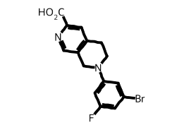 O=C(O)c1cc2c(cn1)CN(c1cc(F)cc(Br)c1)CC2